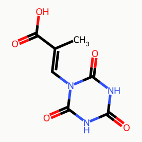 CC(=Cn1c(=O)[nH]c(=O)[nH]c1=O)C(=O)O